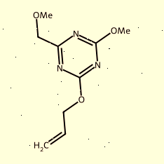 C=CCOc1nc(COC)nc(OC)n1